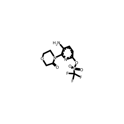 Nc1ccc(OS(=O)(=O)C(F)(F)F)nc1N1CCOCC1=O